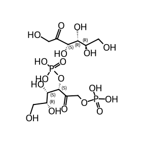 O=C(CO)[C@@H](O)[C@H](O)[C@H](O)CO.O=C(COP(=O)(O)O)[C@@H](OP(=O)(O)O)[C@@H](O)[C@H](O)CO